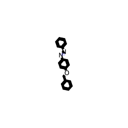 c1ccc(COc2ccc(/N=N/c3ccccc3)cc2)cc1